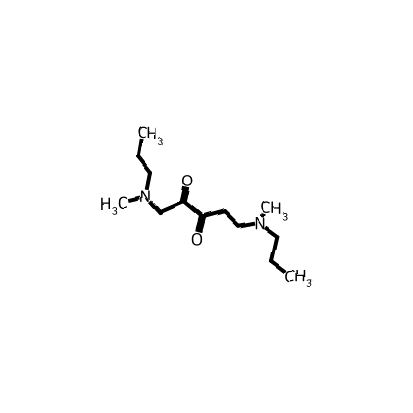 CCCN(C)CCC(=O)C(=O)CN(C)CCC